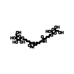 CC(=O)C(CCCCNC(=O)CCCCOC1OC(CO)C(O)OC1O)NC(=O)CCCCOC1OC(CO)C(O)C(O)C1O